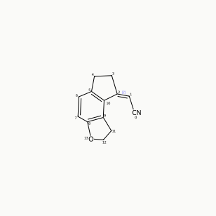 N#C/C=C1/CCc2ccc3c(c21)CCO3